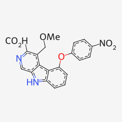 COCc1c(C(=O)O)ncc2[nH]c3cccc(Oc4ccc([N+](=O)[O-])cc4)c3c12